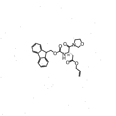 C=CCOC(=O)C[C@H](NC(=O)OCC1c2ccccc2-c2ccccc21)C(=O)N1CCOC1